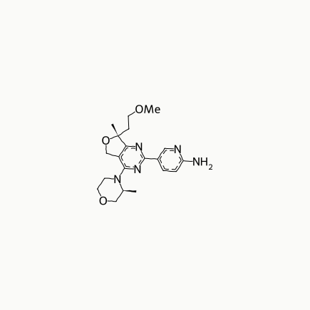 COCC[C@@]1(C)OCc2c(N3CCOC[C@@H]3C)nc(-c3ccc(N)nc3)nc21